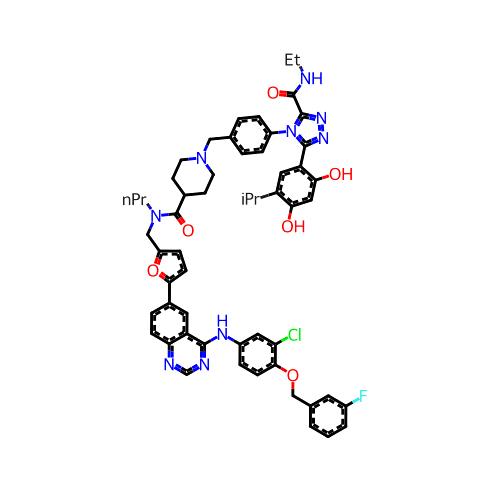 CCCN(Cc1ccc(-c2ccc3ncnc(Nc4ccc(OCc5cccc(F)c5)c(Cl)c4)c3c2)o1)C(=O)C1CCN(Cc2ccc(-n3c(C(=O)NCC)nnc3-c3cc(C(C)C)c(O)cc3O)cc2)CC1